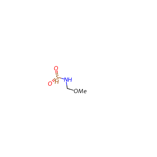 COCN[SH](=O)=O